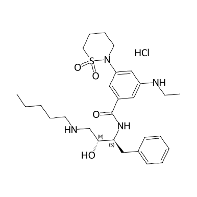 CCCCCNC[C@@H](O)[C@H](Cc1ccccc1)NC(=O)c1cc(NCC)cc(N2CCCCS2(=O)=O)c1.Cl